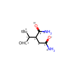 CC(C)(C)C(C=O)C(CC(N)=O)C(N)=O